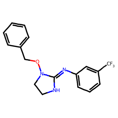 FC(F)(F)c1cccc(/N=C2\NCCN2OCc2ccccc2)c1